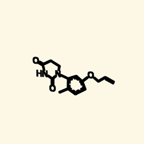 C=CCOc1ccc(C)c(N2CCC(=O)NC2=O)c1